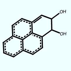 OC1C=c2ccc3cccc4ccc(c2c43)C1O